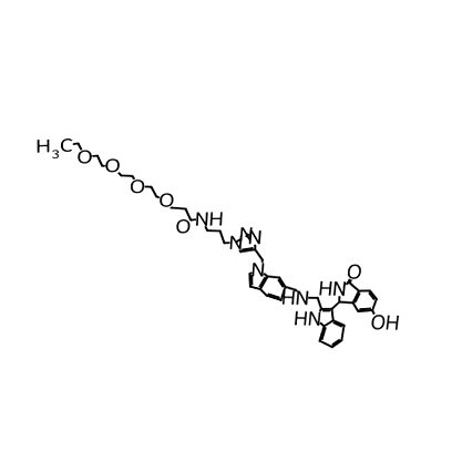 CCOCCOCCOCCOCCC(=O)NCCCn1cc(Cn2ccc3ccc(CNCc4[nH]c5ccccc5c4C4NC(=O)c5ccc(O)cc54)cc32)nn1